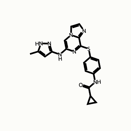 Cc1cc(Nc2cn3ccnc3c(Sc3ccc(NC(=O)C4CC4)cc3)n2)n[nH]1